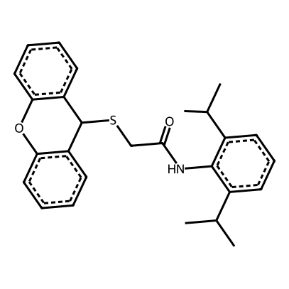 CC(C)c1cccc(C(C)C)c1NC(=O)CSC1c2ccccc2Oc2ccccc21